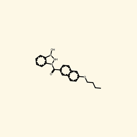 CCCCOc1ccc2cc(C(=O)N3NN(O)c4ccccc43)ccc2c1